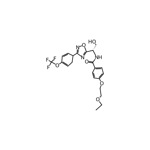 CCOCCOc1ccc(C(=O)N[C@@H](CO)c2nc(C3C=CC(OC(F)(F)F)=CC3)no2)cc1